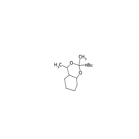 CCCCC1(C)OC(C)C2CCCCC2O1